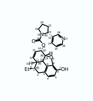 CC[C@@H]1Cc2ccc(O)c3c2C2[C@H]1C=C[C@H](OC(=O)N1CCC[C@@H]1c1cccnc1)[C@@H]2O3